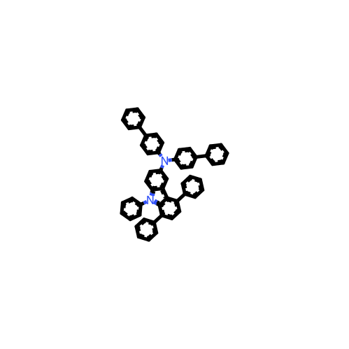 c1ccc(-c2ccc(N(c3ccc(-c4ccccc4)cc3)c3ccc4c(c3)c3c(-c5ccccc5)ccc(-c5ccccc5)c3n4-c3ccccc3)cc2)cc1